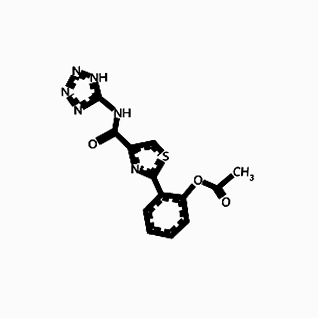 CC(=O)Oc1ccccc1-c1nc(C(=O)Nc2nnn[nH]2)cs1